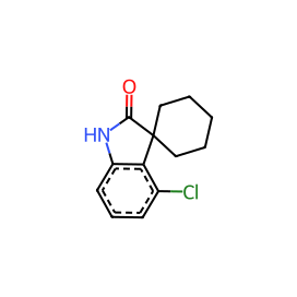 O=C1Nc2cccc(Cl)c2C12CCCCC2